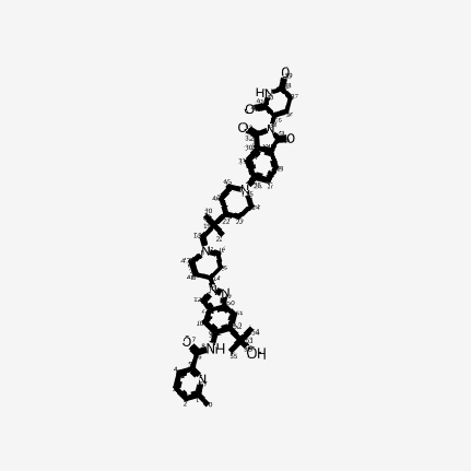 Cc1cccc(C(=O)Nc2cc3cn(C4CCN(CC(C)(C)C5CCN(c6ccc7c(c6)C(=O)N(C6CCC(=O)NC6=O)C7=O)CC5)CC4)nc3cc2C(C)(C)O)n1